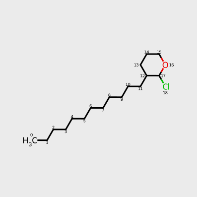 CCCCCCCCCCCCC1CCCOC1Cl